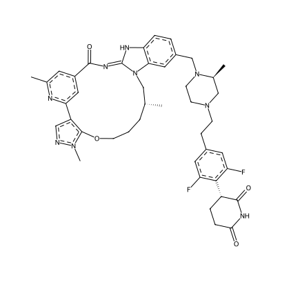 Cc1cc2cc(n1)-c1cnn(C)c1OCCC[C@@H](C)CN1/C(=N/C2=O)Nc2ccc(CN3CCN(CCc4cc(F)c([C@H]5CCC(=O)NC5=O)c(F)c4)C[C@@H]3C)cc21